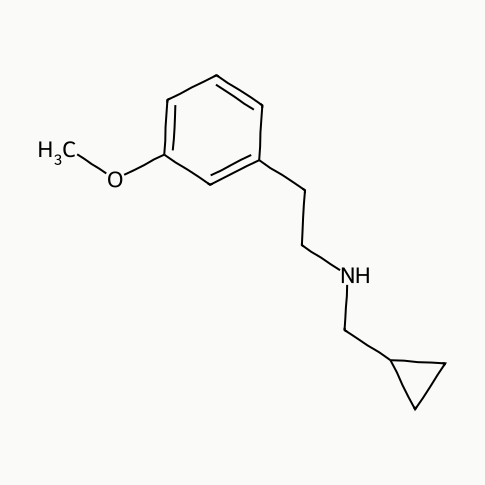 COc1cccc(CCNCC2CC2)c1